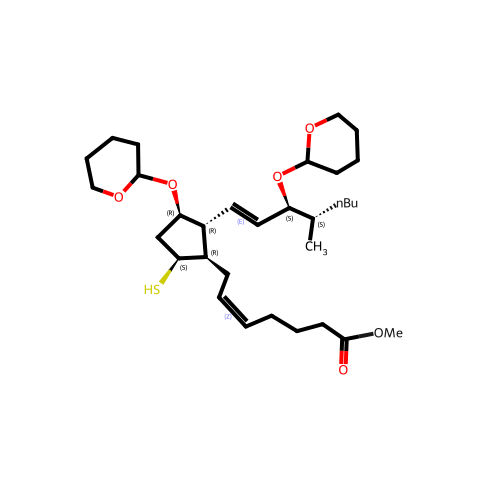 CCCC[C@H](C)[C@@H](/C=C/[C@@H]1[C@@H](C/C=C\CCCC(=O)OC)[C@@H](S)C[C@H]1OC1CCCCO1)OC1CCCCO1